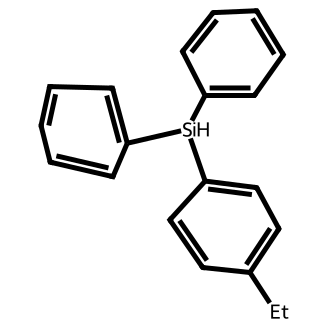 CCc1ccc([SiH](c2ccccc2)c2ccccc2)cc1